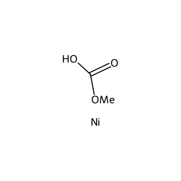 COC(=O)O.[Ni]